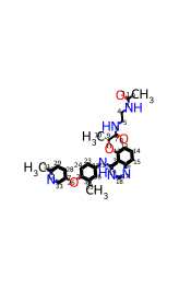 CC(=O)NCCNC(=O)[C@@H](C)Oc1cccc2ncnc(Nc3ccc(Oc4ccc(C)nc4)c(C)c3)c12